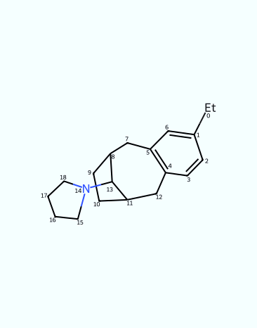 CCc1ccc2c(c1)CC1CCC(C2)C1N1CCCC1